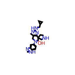 OC1N(c2ccc3[nH]cnc3c2)Cc2cnc(NCC3CC3)nc2C12CCNC2